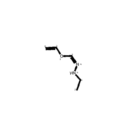 C=CO/C=N\NCC